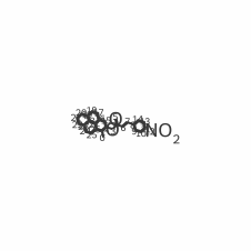 Cc1c(OC(=O)C=Cc2ccc([N+](=O)[O-])cc2)cc2ccc3cccc4ccc1c2c34